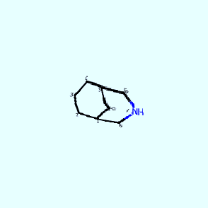 [CH]1C2CCCC1CNC2